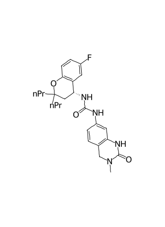 CCCC1(CCC)C[C@@H](NC(=O)Nc2ccc3c(c2)NC(=O)N(C)C3)c2cc(F)ccc2O1